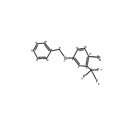 FC(F)(F)c1cc(OCc2ccccc2)ccc1Br